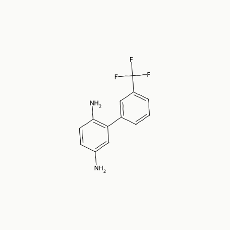 Nc1ccc(N)c(-c2cccc(C(F)(F)F)c2)c1